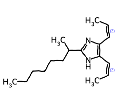 C/C=C\c1nc(C(C)CCCCCC)[nH]c1/C=C\C